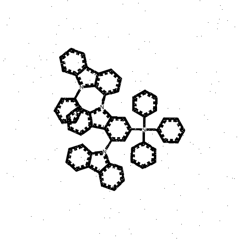 c1ccc(-n2c3ccccc3c3cccc(-n4c5ccccc5c5c(-n6c7ccccc7c7ccccc76)cc([Si](c6ccccc6)(c6ccccc6)c6ccccc6)cc54)c32)cc1